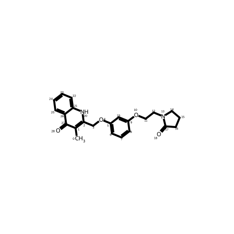 Cc1c(COc2cccc(OCCN3CCCC3=O)c2)[nH]c2ccccc2c1=O